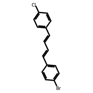 Clc1ccc(C=CC=Cc2ccc(Br)cc2)cc1